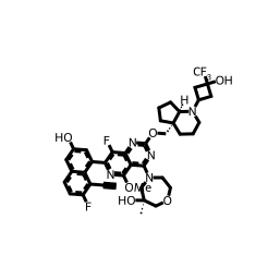 C#Cc1c(F)ccc2cc(O)cc(-c3nc(OC)c4c(N5CCOC[C@@](C)(O)C5)nc(OC[C@]56CCC[C@H]5N(C5CC(O)(C(F)(F)F)C5)CCC6)nc4c3F)c12